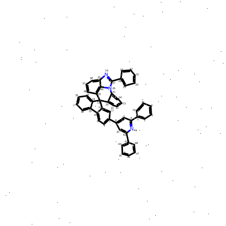 c1ccc(-c2cc(-c3ccc4c(c3)C3(c5ccccc5-4)c4ccccc4-n4c(-c5ccccc5)nc5cccc3c54)cc(-c3ccccc3)n2)cc1